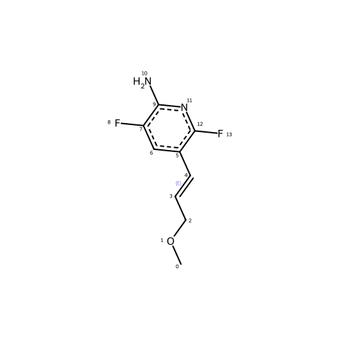 COC/C=C/c1cc(F)c(N)nc1F